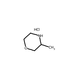 CC1COCCN1.Cl